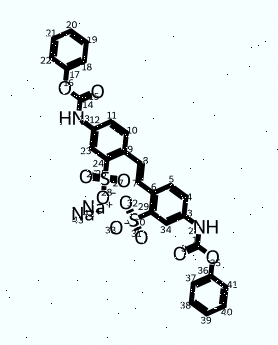 O=C(Nc1ccc(/C=C/c2ccc(NC(=O)Oc3ccccc3)cc2S(=O)(=O)[O-])c(S(=O)(=O)[O-])c1)Oc1ccccc1.[Na+].[Na+]